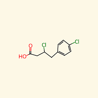 O=C(O)CC(Cl)Cc1ccc(Cl)cc1